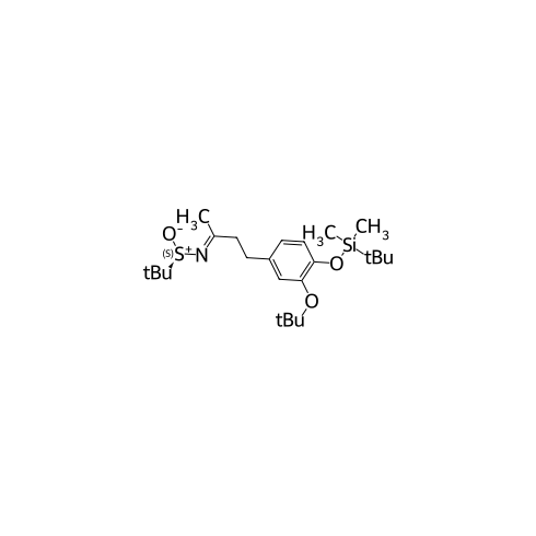 CC(CCc1ccc(O[Si](C)(C)C(C)(C)C)c(OC(C)(C)C)c1)=N[S@+]([O-])C(C)(C)C